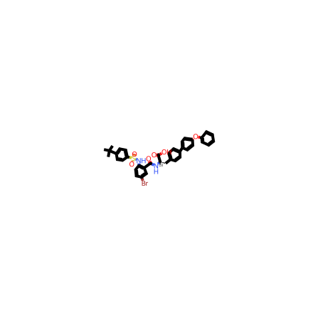 CC(C)(C)c1ccc(S(=O)(=O)Nc2ccc(Br)cc2C(=O)N[C@@H](Cc2ccc(-c3ccc(Oc4ccccc4)cc3)cc2)C(=O)O)cc1